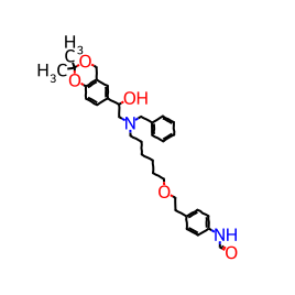 CC1(C)OCc2cc(C(O)CN(CCCCCCOCCc3ccc(NC=O)cc3)Cc3ccccc3)ccc2O1